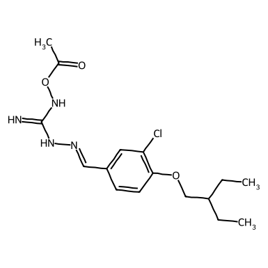 CCC(CC)COc1ccc(C=NNC(=N)NOC(C)=O)cc1Cl